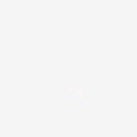 CCCCCCCCCCCCCCCCCC(C)N(CC(=O)NC)C(=O)O